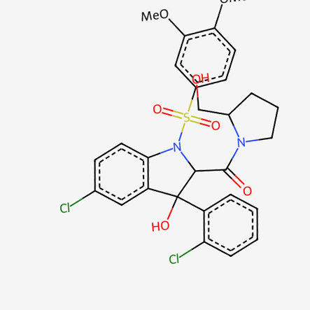 COc1ccc(S(=O)(=O)N2c3ccc(Cl)cc3C(O)(c3ccccc3Cl)C2C(=O)N2CCCC2CO)cc1OC